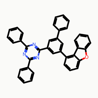 c1ccc(-c2cc(-c3nc(-c4ccccc4)nc(-c4ccccc4)n3)cc(-c3cccc4oc5ccccc5c34)c2)cc1